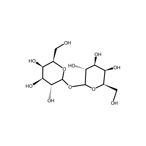 OC[C@H]1OC(OC2O[C@H](CO)[C@H](O)[C@H](O)[C@H]2O)[C@H](O)[C@@H](O)[C@H]1O